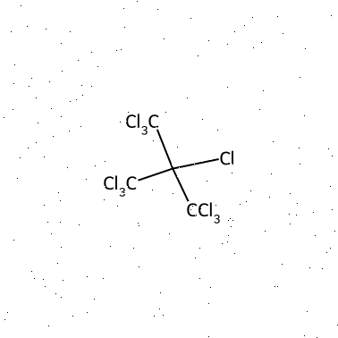 ClC(Cl)(Cl)C(Cl)(C(Cl)(Cl)Cl)C(Cl)(Cl)Cl